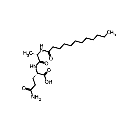 CCCCCCCCCCCC(=O)N[C@@H](C)C(=O)N[C@@H](CCC(N)=O)C(=O)O